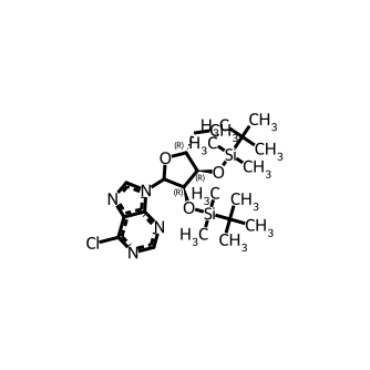 CC[C@H]1OC(n2cnc3c(Cl)ncnc32)[C@H](O[Si](C)(C)C(C)(C)C)[C@@H]1O[Si](C)(C)C(C)(C)C